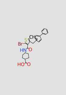 Cc1sc(Br)c(C(=O)NC2CCC(C(=O)O)CC2)c1Cc1ccc(-c2ccccc2)cc1